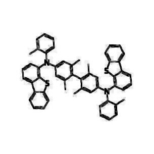 Cc1ccccc1N(c1cc(C)c(-c2c(C)cc(N(c3ccccc3C)c3cccc4c3sc3ccccc34)cc2C)c(C)c1)c1cccc2c1sc1ccccc12